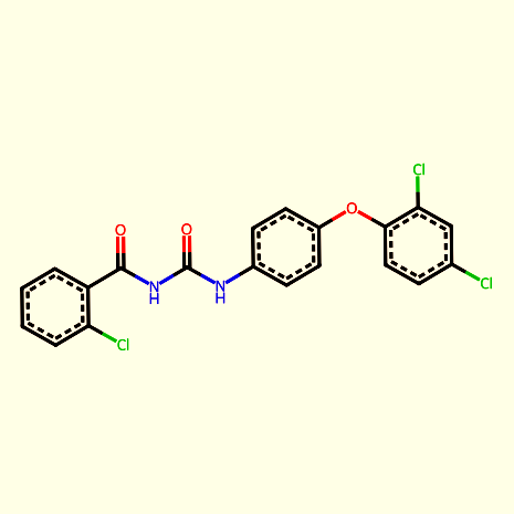 O=C(NC(=O)c1ccccc1Cl)Nc1ccc(Oc2ccc(Cl)cc2Cl)cc1